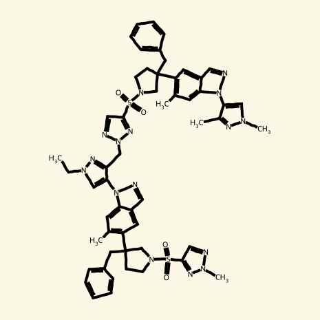 CCn1cc(-n2ncc3cc(C4(Cc5ccccc5)CCN(S(=O)(=O)c5cnn(C)n5)C4)c(C)cc32)c(Cn2ncc(S(=O)(=O)N3CCC(Cc4ccccc4)(c4cc5cnn(-c6cn(C)nc6C)c5cc4C)C3)n2)n1